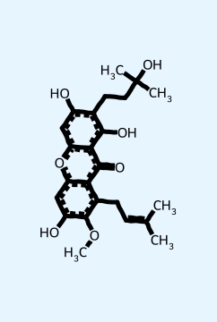 COc1c(O)cc2oc3cc(O)c(CCC(C)(C)O)c(O)c3c(=O)c2c1CC=C(C)C